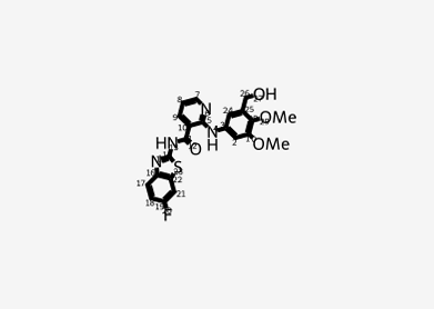 COc1cc(Nc2ncccc2C(=O)Nc2nc3ccc(F)cc3s2)cc(CO)c1OC